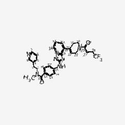 CN(CCc1cccnc1)C(=O)c1ccc(Nc2nc3c(C4=CCN(C(=O)CCC(F)(F)F)CC4)cccn3n2)cc1